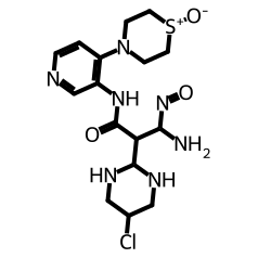 NC(N=O)C(C(=O)Nc1cnccc1N1CC[S+]([O-])CC1)C1NCC(Cl)CN1